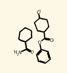 NC(=O)C1CCCCC1.O=C(Oc1ccccc1)C1CCC(Cl)CC1